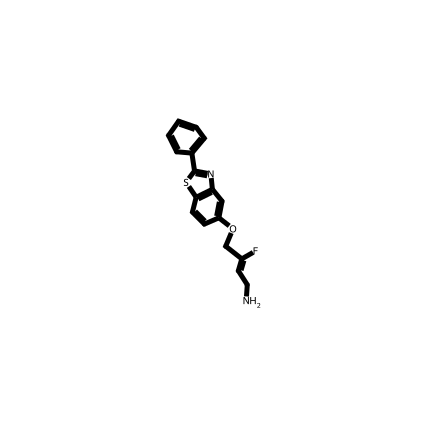 NC/C=C(\F)COc1ccc2sc(-c3ccccc3)nc2c1